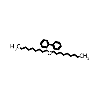 CCCCCCCCCOCCCCCCCCC.c1ccc(-c2ccccc2)cc1